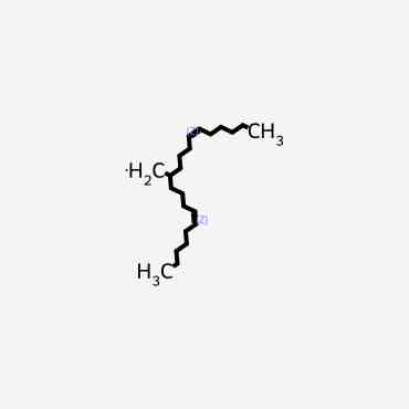 [CH2]C(CCC/C=C\CCCCC)CCC/C=C\CCCCC